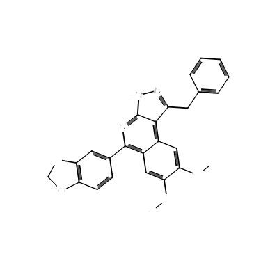 COc1cc2c(-c3ccc4c(c3)OCO4)nc3[nH]nc(Cc4ccccc4)c3c2cc1OC